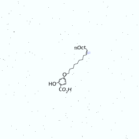 CCCCCCCC/C=C\CCCCCCCCOc1ccc(C(=O)O)c(O)c1